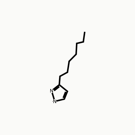 CCCCCCCC1=N[N]C=C1